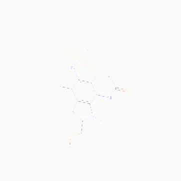 CCCN1c2c(c(C)c(NS(N)(=O)=O)c(C)c2NC(=O)C(C)(C)C)CC1COCC